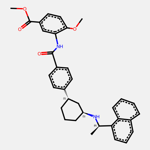 COC(=O)c1ccc(OC)c(NC(=O)c2ccc([C@H]3CCC[C@H](N[C@H](C)c4cccc5ccccc45)C3)cc2)c1